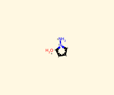 Nn1cccc1.O